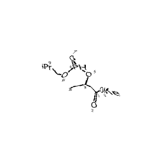 COC(=O)C(C)O[PH](=O)OC(C)C